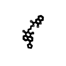 O=C(OCCCN1C(=O)c2cccc3c(N4CCCC4)ccc(c23)C1=O)c1cc2ccccc2oc1=O